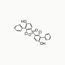 O=S(=O)(c1ccc(O)c(-c2ccccc2)c1Cl)c1ccc(O)c(-c2ccccc2)c1Cl